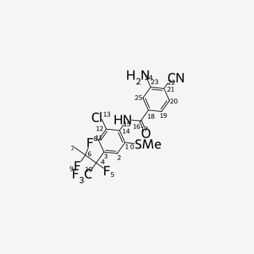 CSc1cc(C(F)(C(C)(F)F)C(F)(F)F)cc(Cl)c1NC(=O)c1ccc(C#N)c(N)c1